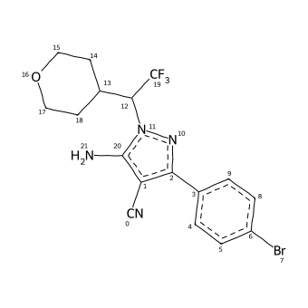 N#Cc1c(-c2ccc(Br)cc2)nn(C(C2CCOCC2)C(F)(F)F)c1N